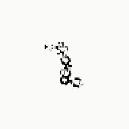 O=C(OC(C(F)(F)F)C(F)(F)F)N1CCC2(CC1)CN(Cc1c(N3CCOCC3)cccc1C(F)(F)F)C2